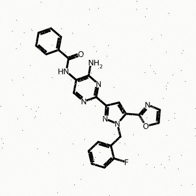 Nc1nc(-c2cc(-c3ncco3)n(Cc3ccccc3F)n2)ncc1NC(=O)c1ccccc1